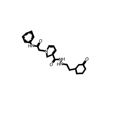 O=C1CCCC(CCNNC(=O)C2=CC=CN(CC(=O)Nc3ccccc3)C2)C1